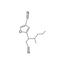 CCCC(C)C(CC#N)c1cc(C#N)co1